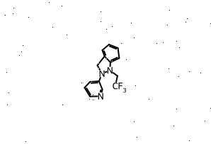 FC(F)(F)CN1c2ccccc2CN1c1cccnc1